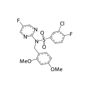 COc1ccc(CN(c2ncc(F)cn2)S(=O)(=O)c2ccc(F)c(Cl)c2)c(OC)c1